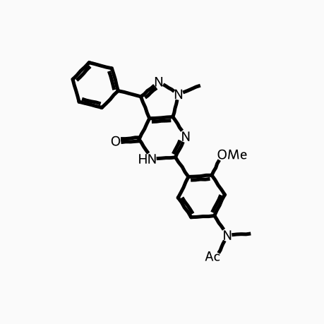 COc1cc(N(C)C(C)=O)ccc1-c1nc2c(c(-c3ccccc3)nn2C)c(=O)[nH]1